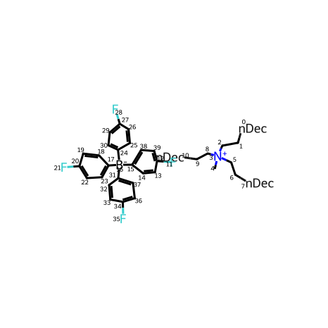 CCCCCCCCCCCC[N+](C)(CCCCCCCCCCCC)CCCCCCCCCCCC.Fc1ccc([B-](c2ccc(F)cc2)(c2ccc(F)cc2)c2ccc(F)cc2)cc1